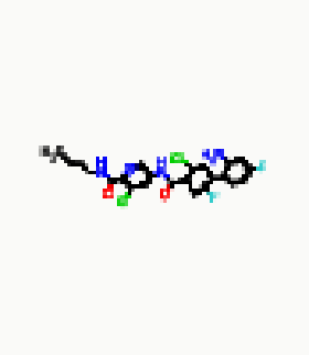 CCCCNC(=O)c1ncc(NC(=O)c2cc(F)c(-c3ccc(F)cc3N)cc2Cl)cc1Cl